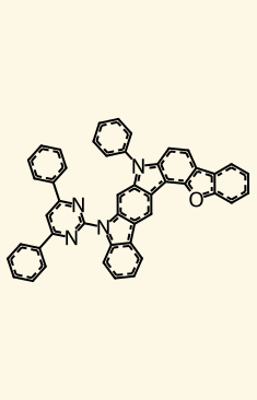 c1ccc(-c2cc(-c3ccccc3)nc(-n3c4ccccc4c4cc5c6c7oc8ccccc8c7ccc6n(-c6ccccc6)c5cc43)n2)cc1